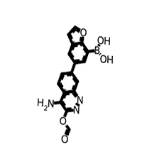 Nc1c(OC=O)nnc2cc(-c3cc(B(O)O)c4occc4c3)ccc12